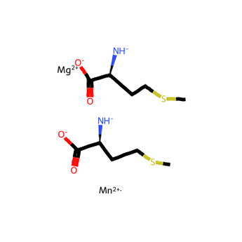 CSCC[C@H]([NH-])C(=O)[O-].CSCC[C@H]([NH-])C(=O)[O-].[Mg+2].[Mn+2]